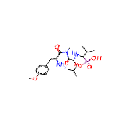 COc1ccc(C[C@H](N)C(=O)N(C)C(=O)C(CC(C)C)NC(C(C)C)P(=O)(O)O)cc1